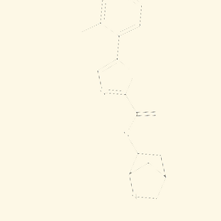 O=C(NC1CC2CNC1C2)c1ncc(-c2ccccc2Cl)o1